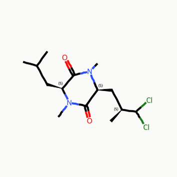 CC(C)C[C@H]1C(=O)N(C)[C@@H](C[C@H](C)C(Cl)Cl)C(=O)N1C